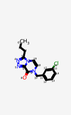 CCCc1nnc2c(=O)n(Cc3cccc(Cl)c3)ccn12